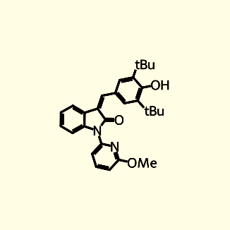 COc1cccc(N2C(=O)C(=Cc3cc(C(C)(C)C)c(O)c(C(C)(C)C)c3)c3ccccc32)n1